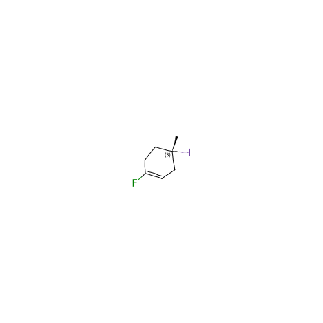 C[C@@]1(I)CC=C(F)CC1